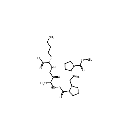 CCC(=O)[C@H](CCCCN)NCC(=O)[C@H](C)NCC(=O)[C@@H]1CCCN1CC(=O)[C@@H]1CCCN1C(=O)OC(C)(C)C